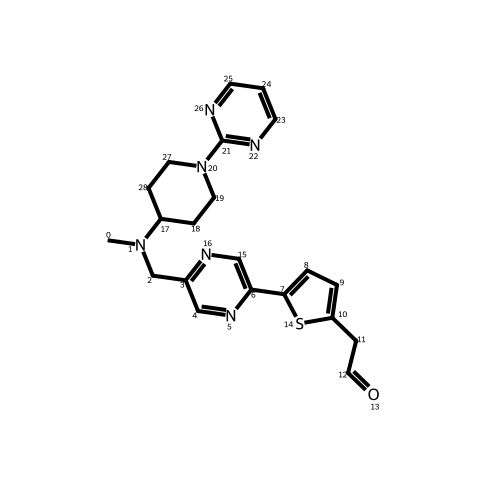 CN(Cc1cnc(-c2ccc(CC=O)s2)cn1)C1CCN(c2ncccn2)CC1